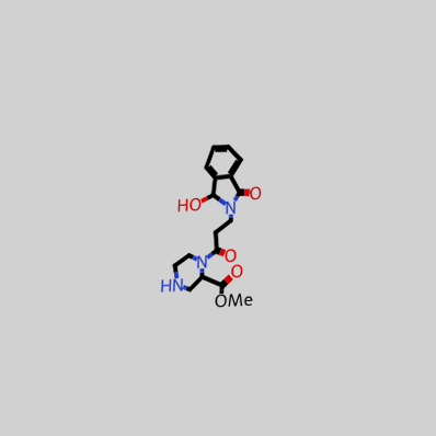 COC(=O)C1CNCCN1C(=O)CCN1C(=O)c2ccccc2C1O